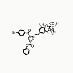 Cc1cc(CC[C@@H]2CN(C(=O)Oc3ccccc3)C[C@H]2C(=O)c2ccc(Br)cc2)cc(C)c1OC(C)(C)C(=O)O